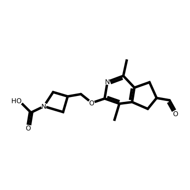 Cc1nc(OCC2CN(C(=O)O)C2)c(C)c2c1CC(C=O)C2